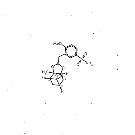 COc1ccc(S(N)(=O)=O)cc1CB1O[C@@H]2C[C@@H]3C[C@@H](C3(C)C)[C@]2(C)O1